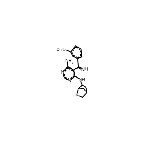 N=C(c1cccc(C=O)c1)c1c(N)ncnc1NC1CC2CNC1C2